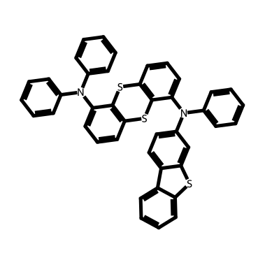 c1ccc(N(c2ccccc2)c2cccc3c2Sc2cccc(N(c4ccccc4)c4ccc5c(c4)sc4ccccc45)c2S3)cc1